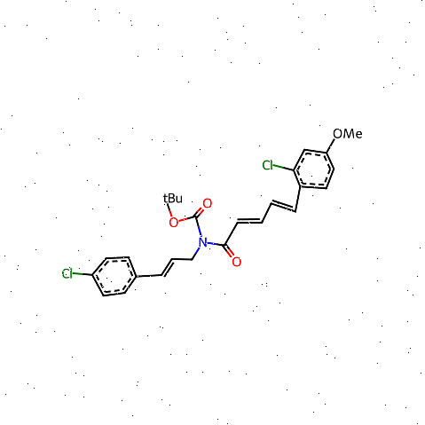 COc1ccc(/C=C/C=C/C(=O)N(C/C=C/c2ccc(Cl)cc2)C(=O)OC(C)(C)C)c(Cl)c1